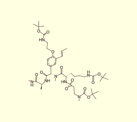 C/C=C/c1cc([C@@H](C(=O)N[C@@H](C)C(=O)NC)N(C)C(=O)[C@H](CCCCNC(=O)OC(C)(C)C)NS(=O)(=O)CCN(C)C(=O)OC(C)(C)C)ccc1OCCNC(=O)OC(C)(C)C